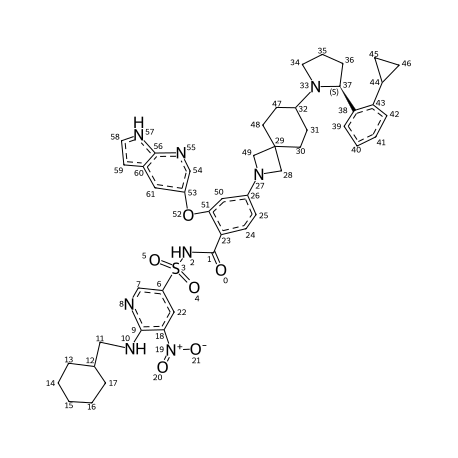 O=C(NS(=O)(=O)c1cnc(NCC2CCCCC2)c([N+](=O)[O-])c1)c1ccc(N2CC3(CCC(N4CCC[C@H]4c4ccccc4C4CC4)CC3)C2)cc1Oc1cnc2[nH]ccc2c1